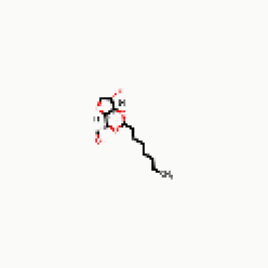 CCCCCCCC1O[C@H]2[C@H](OC[C@@H]2O)[C@@H](CO)O1